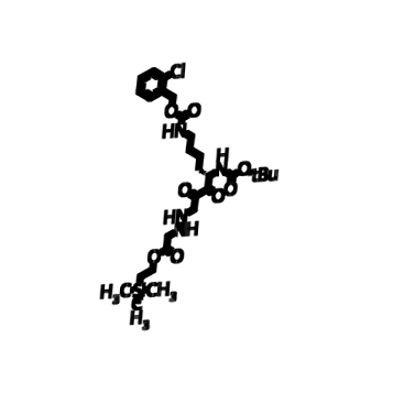 CC(C)(C)OC(=O)N[C@@H](CCCCNC(=O)OCc1ccccc1Cl)C(=O)C(=O)CNNCC(=O)OCC[Si](C)(C)C